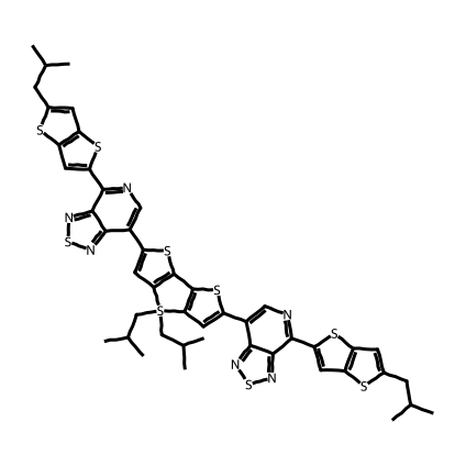 CC(C)Cc1cc2sc(-c3ncc(-c4cc5c(s4)-c4sc(-c6cnc(-c7cc8sc(CC(C)C)cc8s7)c7nsnc67)cc4S5(CC(C)C)CC(C)C)c4nsnc34)cc2s1